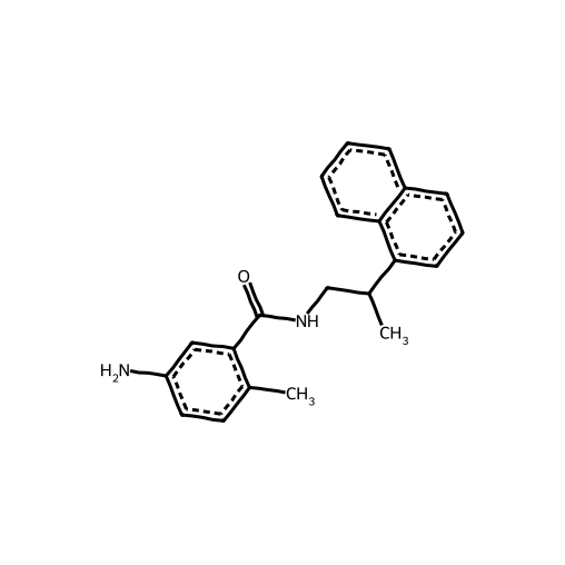 Cc1ccc(N)cc1C(=O)NCC(C)c1cccc2ccccc12